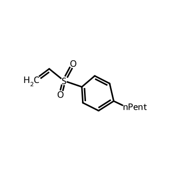 C=CS(=O)(=O)c1ccc(CCCCC)cc1